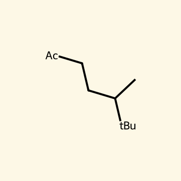 CC(=O)CCC(C)C(C)(C)C